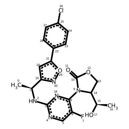 C[C@H](Nc1ncc(F)c(N2C(=O)OCC2[C@@H](C)O)n1)c1cc(-c2ccc(Cl)cc2)on1